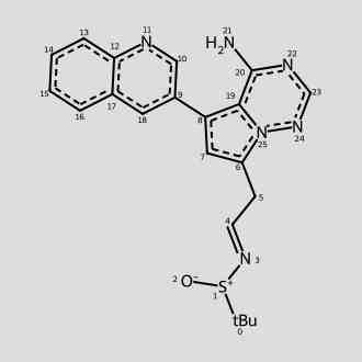 CC(C)(C)[S+]([O-])N=CCc1cc(-c2cnc3ccccc3c2)c2c(N)ncnn12